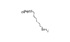 CCCCCCCCCCCC[SiH2]